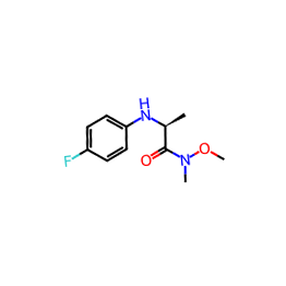 CON(C)C(=O)[C@H](C)Nc1ccc(F)cc1